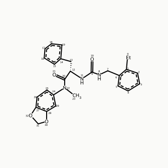 CCc1ccccc1CNC(=O)N[C@@H](Cc1ccccc1)C(=O)N(C)c1ccc2c(c1)OCO2